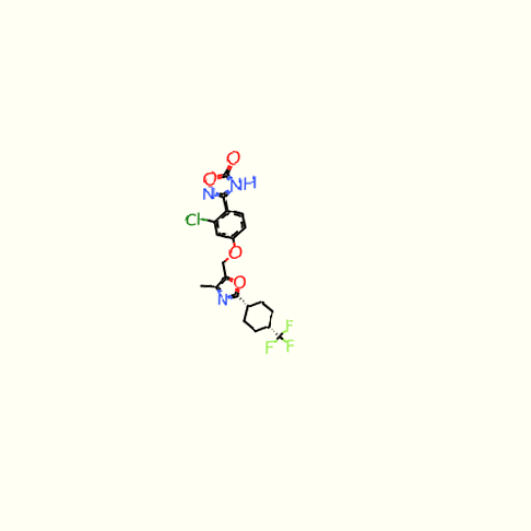 Cc1nc([C@H]2CC[C@@H](C(F)(F)F)CC2)oc1COc1ccc(-c2noc(=O)[nH]2)c(Cl)c1